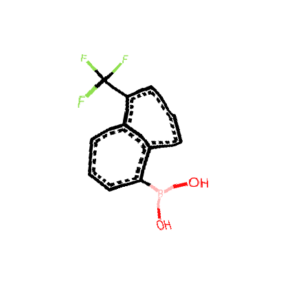 OB(O)c1cccc2c(C(F)(F)F)cccc12